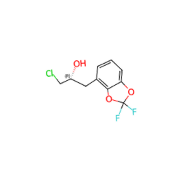 O[C@@H](CCl)Cc1cccc2c1OC(F)(F)O2